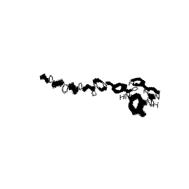 CCCOCCOCCOCCC(=O)N1CCN(Cc2ccc(C(=O)Nc3ccc(C)c(Nc4nccc(-c5cccnc5)n4)c3)cc2)CC1